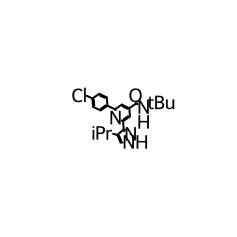 CC(C)c1c[nH]nc1-c1cc(C(=O)NC(C)(C)C)cc(-c2ccc(Cl)cc2)n1